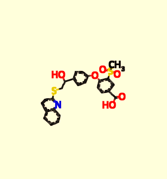 CS(=O)(=O)c1cc(C(=O)O)ccc1Oc1ccc(C(O)CSc2ccc3ccccc3n2)cc1